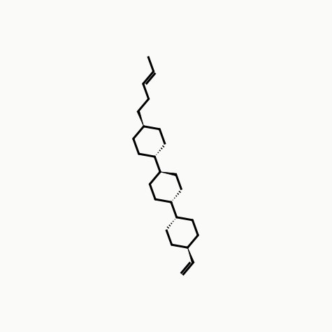 C=C[C@H]1CC[C@H]([C@H]2CC[C@H]([C@H]3CC[C@H](CCC=CC)CC3)CC2)CC1